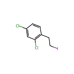 Clc1ccc(CCI)c(Cl)c1